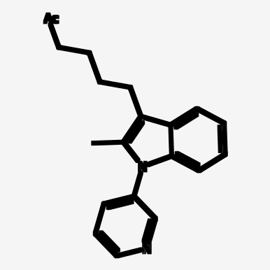 CC(=O)CCCCc1c(C)n(-c2cccnc2)c2ccccc12